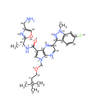 C[C@@H](NC(=O)c1cn(COCC[Si](C)(C)C)c2ncc(-c3nn(C)c4cc(F)ccc34)nc12)c1nc(CN)co1